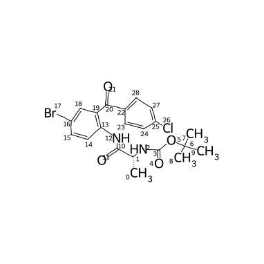 C[C@@H](NC(=O)OC(C)(C)C)C(=O)Nc1ccc(Br)cc1C(=O)c1ccc(Cl)cc1